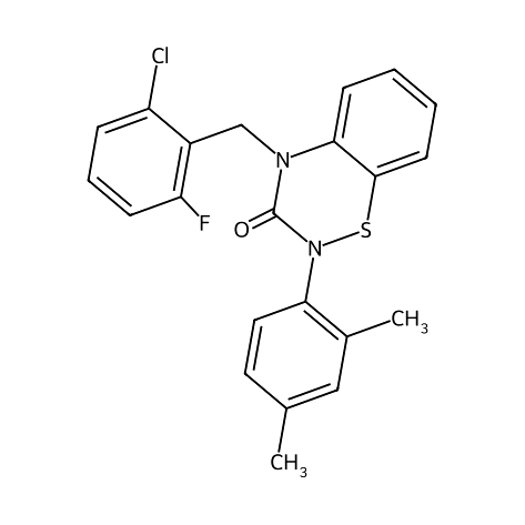 Cc1ccc(N2Sc3ccccc3N(Cc3c(F)cccc3Cl)C2=O)c(C)c1